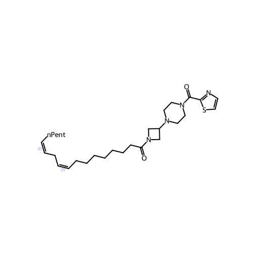 CCCCC/C=C\C/C=C\CCCCCCCC(=O)N1CC(N2CCN(C(=O)c3nccs3)CC2)C1